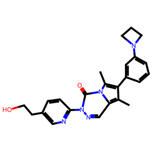 Cc1c(-c2cccc(N3CCC3)c2)c(C)n2c(=O)n(-c3ccc(CCO)cn3)ncc12